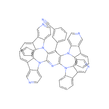 N#Cc1cccc(-c2c(-n3c4ccccc4c4cnccc43)c(-n3c4ccccc4c4cnccc43)nc(-n3c4ccccc4c4cnccc43)c2-n2c3ccccc3c3cnccc32)c1